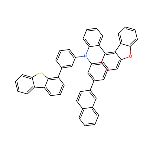 c1cc(-c2ccc3ccccc3c2)cc(N(c2cccc(-c3cccc4c3sc3ccccc34)c2)c2ccccc2-c2cccc3oc4ccccc4c23)c1